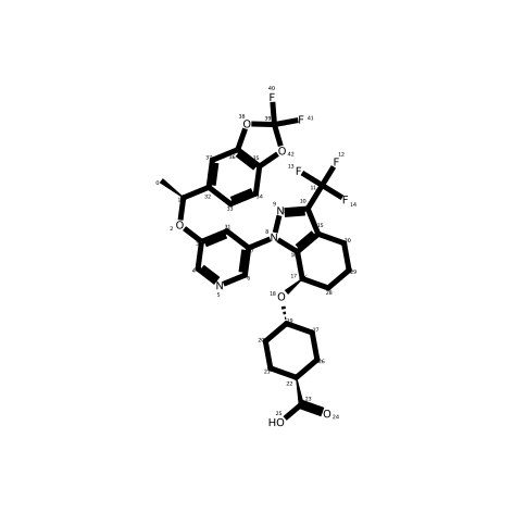 C[C@H](Oc1cncc(-n2nc(C(F)(F)F)c3c2[C@H](O[C@H]2CC[C@H](C(=O)O)CC2)CCC3)c1)c1ccc2c(c1)OC(F)(F)O2